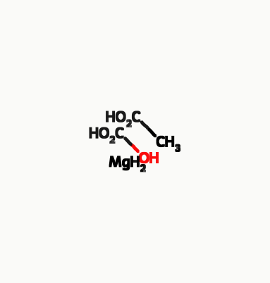 CC(=O)O.O=C(O)O.[MgH2]